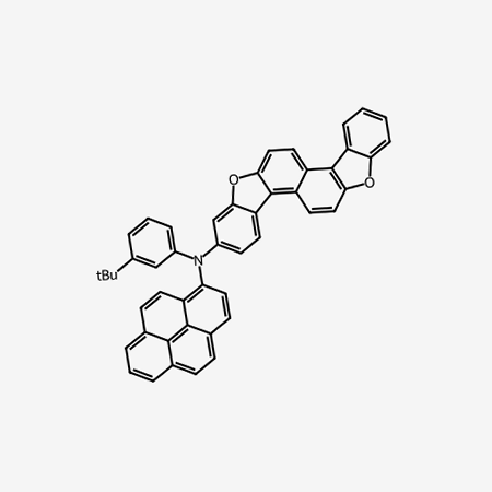 CC(C)(C)c1cccc(N(c2ccc3c(c2)oc2ccc4c(ccc5oc6ccccc6c54)c23)c2ccc3ccc4cccc5ccc2c3c45)c1